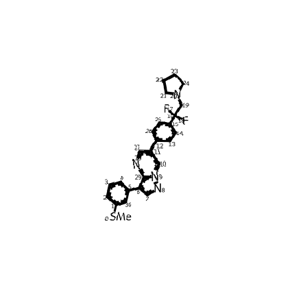 CSc1cccc(-c2cnn3cc(-c4ccc(C(F)(F)CN5CCCC5)cc4)cnc23)c1